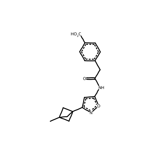 CC12CC(c3cc(NC(=O)Cc4ccc(C(=O)O)cc4)on3)(C1)C2